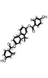 CC1(C)c2cc(OC(=O)c3ccc(O)cc3F)ccc2-c2ccc(OC(=O)c3ccc(O)cc3F)cc21